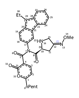 CCCCCc1ccc(C(=O)N(C(=O)[C@@H]2C/C(=N/OC)CN2)c2ccc3c(c2)c2ccccc2n3CC)c(=O)o1